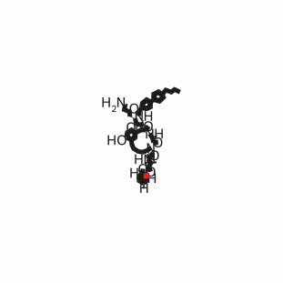 CCCCc1ccc(-c2ccc(C(=O)N[C@@H](CCCCN)C(=O)N(C)[C@@H]3C(=O)N[C@@H](C)C(=O)N[C@H](C(=O)N[C@@H](C)B4O[C@@H]5C[C@@H]6C[C@@H](C6(C)C)[C@]5(C)O4)CCCCc4cc3ccc4O)cc2)cc1